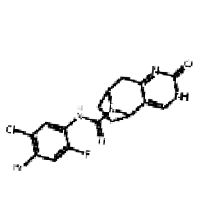 O=C(Nc1cc(Cl)c(Br)cc1F)N1C2CCC1c1c[nH]c(=O)nc1C2